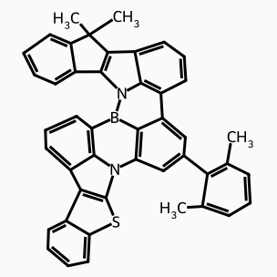 Cc1cccc(C)c1-c1cc2c3c(c1)-n1c4sc5ccccc5c4c4cccc(c41)B3n1c3c(c4cccc-2c41)C(C)(C)c1ccccc1-3